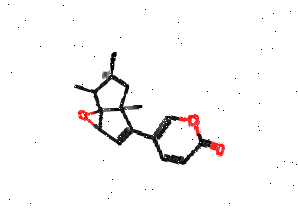 CC1[C@@H](C)CC2(C)C(c3ccc(=O)oc3)=CC3OC312